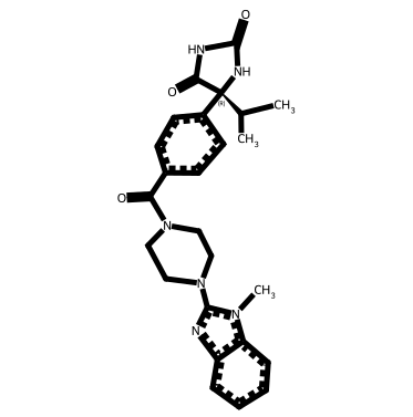 CC(C)[C@]1(c2ccc(C(=O)N3CCN(c4nc5ccccc5n4C)CC3)cc2)NC(=O)NC1=O